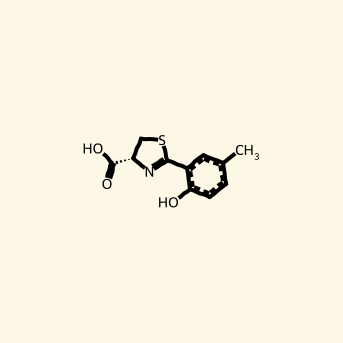 Cc1ccc(O)c(C2=N[C@H](C(=O)O)CS2)c1